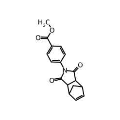 COC(=O)c1ccc(N2C(=O)C3C4C=CC(C4)C3C2=O)cc1